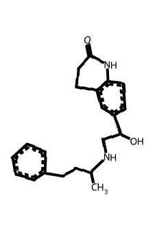 CC(CCc1ccccc1)NCC(O)c1ccc2c(c1)CCC(=O)N2